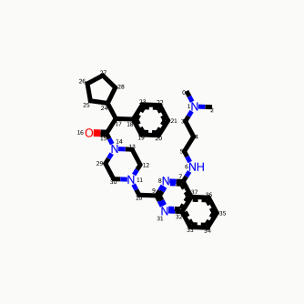 CN(C)CCCNc1nc(CN2CCN(C(=O)C(c3ccccc3)C3CCCC3)CC2)nc2ccccc12